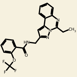 CCc1nc2ccccc2c2cc(CNC(=O)c3ccccc3OC(F)(F)F)nn12